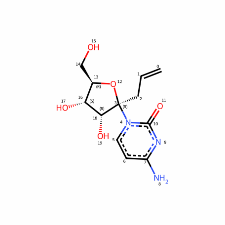 C=CC[C@@]1(n2ccc(N)nc2=O)O[C@H](CO)[C@@H](O)[C@H]1O